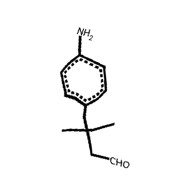 CC(C)(CC=O)c1ccc(N)cc1